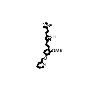 COc1cc(OCc2ccccn2)ccc1C=Cc1cc(C=Cc2cncn2C)[nH]n1